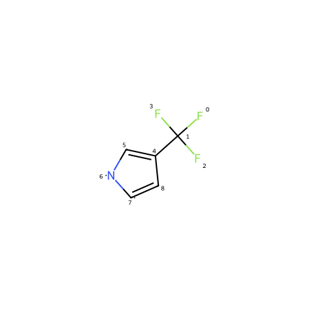 FC(F)(F)C1=C[N][C]=C1